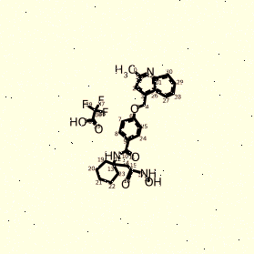 Cc1cc(COc2ccc(C(=O)NC3(CC(=O)NO)CCCCC3)cc2)c2ccccc2n1.O=C(O)C(F)(F)F